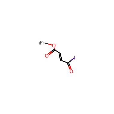 CC(C)OC(=O)/C=C/C(=O)I